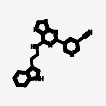 N#Cc1cncc(-c2nc(NCCc3c[nH]c4ccccc34)c3ncsc3n2)c1